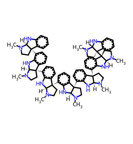 CN1CC[C@]2(c3cccc4c3N[C@@H]3N(C)CC[C@]43c3cccc4c3N[C@@H]3N(C)CC[C@]43c3cccc4c3N[C@@H]3N(C)CC[C@]43[C@@]34CCN(C)[C@@H]3Nc3ccccc34)c3cccc([C@]45CCN(C)[C@H]4Nc4c5cccc4[C@]45CCN(C)[C@H]4Nc4ccccc45)c3N[C@H]12